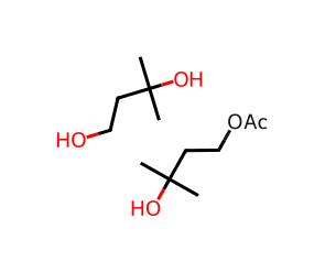 CC(=O)OCCC(C)(C)O.CC(C)(O)CCO